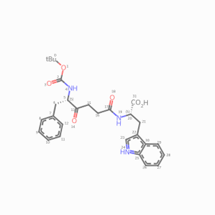 CC(C)(C)OC(=O)N[C@@H](Cc1ccccc1)C(=O)CCC(=O)N[C@@H](Cc1c[nH]c2ccccc12)C(=O)O